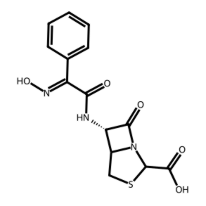 O=C(N[C@@H]1C(=O)N2C(C(=O)O)SCC12)C(=NO)c1ccccc1